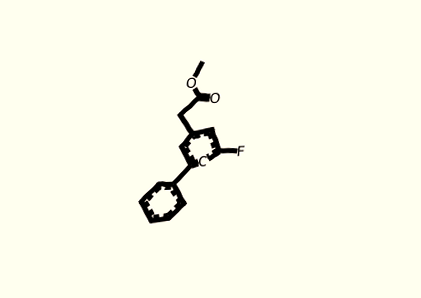 COC(=O)Cc1cc(F)cc(-c2ccccc2)c1